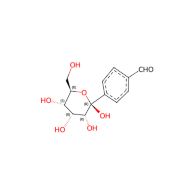 O=Cc1ccc([C@@]2(O)O[C@H](CO)[C@@H](O)[C@@H](O)[C@H]2O)cc1